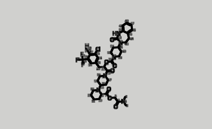 CN(C)C(=O)COC(=O)[C@H]1CCCCN1C1CCN(C(=O)[C@@H](Cc2cc(Cl)c(N)c(C(F)(F)F)c2)OC(=O)N2CCC(N3CCc4ccccc4NC3=O)CC2)CC1